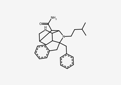 CC(C)CCN1C2C3NCC(CC3C1(Cc1ccccc1)Cc1ccccc1)C2C(N)=O